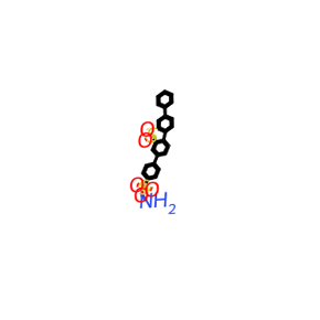 NOS(=O)(=O)c1ccc(-c2ccc3c(c2)S(=O)(=O)c2cc(-c4ccccc4)ccc2-3)cc1